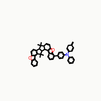 C=C1C=CC(N(c2ccccc2)c2ccc(-c3cccc4c5c(oc34)C=CC3C5C4C(c5ccc6oc7ccccc7c6c5C4(C)C)C3(C)C)cc2)=CC1